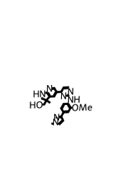 COc1cc(-c2ccn(C)n2)ccc1Nc1nccc(-c2cnc3c(c2)C(C)(CO)CN3)n1